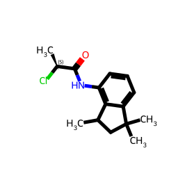 CC1CC(C)(C)c2cccc(NC(=O)[C@H](C)Cl)c21